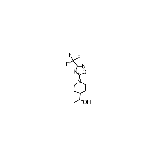 CC(O)C1CCN(c2nc(C(F)(F)F)no2)CC1